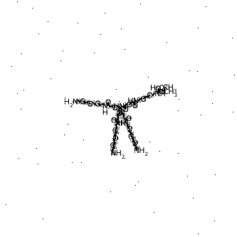 CC(C)(C)OC(=O)NCCOCCOCCNC(=O)COCC(=O)NC(COCCC(=O)NCCOCCOCCOCCN)(COCCC(=O)NCCOCCOCCOCCN)COCCC(=O)NCCOCCOCCOCCN